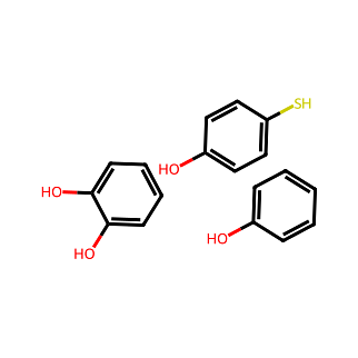 Oc1ccc(S)cc1.Oc1ccccc1.Oc1ccccc1O